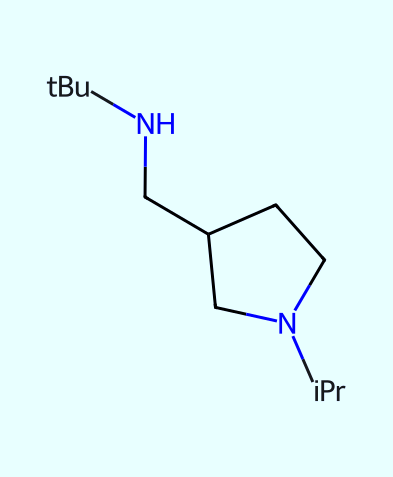 CC(C)N1CCC(CNC(C)(C)C)C1